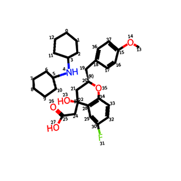 C1CCC(NC2CCCCC2)CC1.COc1ccc(C[C@@H]2C[C@@](O)(CC(=O)O)c3cc(F)ccc3O2)cc1